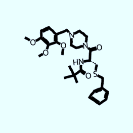 COc1ccc(CN2CCN(C(=O)[C@H](CSCc3ccccc3)NC(=O)C(C)(C)C)CC2)c(OC)c1OC